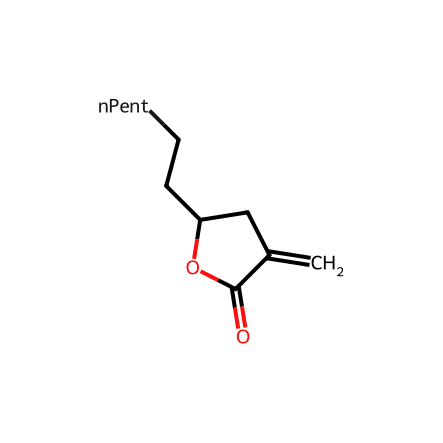 C=C1CC(CCCCCCC)OC1=O